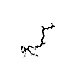 CC(=O)NC(CSCC=C(C)CCC=C(C)CCC=C(C)C)c1ncn[nH]1